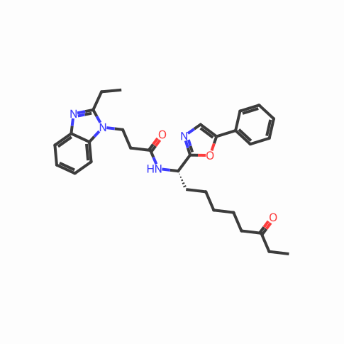 CCC(=O)CCCCC[C@H](NC(=O)CCn1c(CC)nc2ccccc21)c1ncc(-c2ccccc2)o1